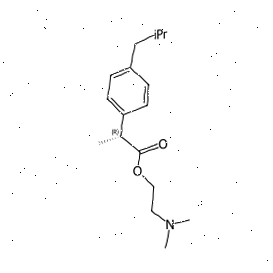 CC(C)Cc1ccc([C@@H](C)C(=O)OCCN(C)C)cc1